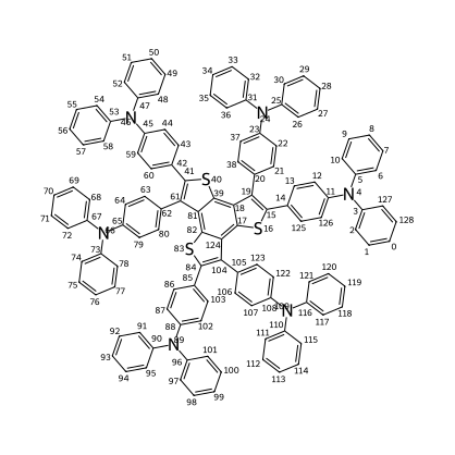 c1ccc(N(c2ccccc2)c2ccc(-c3sc4c(c3-c3ccc(N(c5ccccc5)c5ccccc5)cc3)c3sc(-c5ccc(N(c6ccccc6)c6ccccc6)cc5)c(-c5ccc(N(c6ccccc6)c6ccccc6)cc5)c3c3sc(-c5ccc(N(c6ccccc6)c6ccccc6)cc5)c(-c5ccc(N(c6ccccc6)c6ccccc6)cc5)c43)cc2)cc1